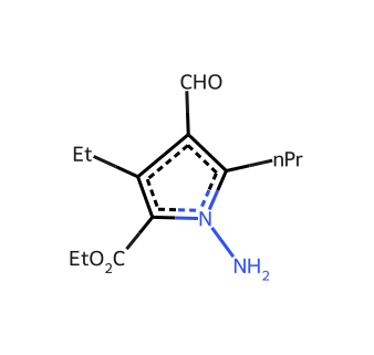 CCCc1c(C=O)c(CC)c(C(=O)OCC)n1N